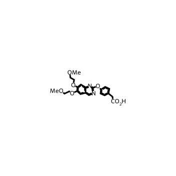 COCCOc1cc2cnc(Oc3ccc(CC(=O)O)cc3)nc2cc1OCCOC